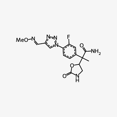 CON=Cc1cn(-c2ccc(C(C)(C(N)=O)C3CNC(=O)O3)cc2F)nn1